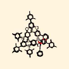 Cc1cc(C)c(-c2cc3c4c(c2)Oc2cc5c(cc2B4c2ccc(-c4ccccc4)cc2O3)B2c3cc4c(cc3N(c3c(C)cc(C)cc3C)c3cc(-c6c(C)cc(C)cc6C)cc(c32)N5c2c(C)cc(C)cc2C)Oc2cc(-c3c(C)cc(C)cc3C)cc3c2B4c2ccc(-c4ccccc4)cc2O3)c(C)c1